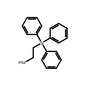 [SeH]CC[Si](c1ccccc1)(c1ccccc1)c1ccccc1